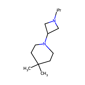 CC(C)N1CC(N2CCC(C)(C)CC2)C1